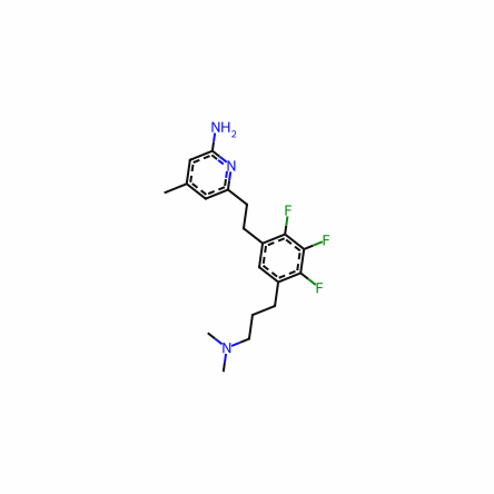 Cc1cc(N)nc(CCc2cc(CCCN(C)C)c(F)c(F)c2F)c1